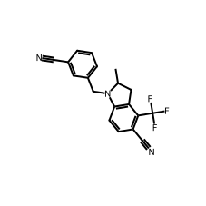 CC1Cc2c(ccc(C#N)c2C(F)(F)F)N1Cc1cccc(C#N)c1